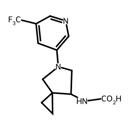 O=C(O)NC1CN(c2cncc(C(F)(F)F)c2)CC12CC2